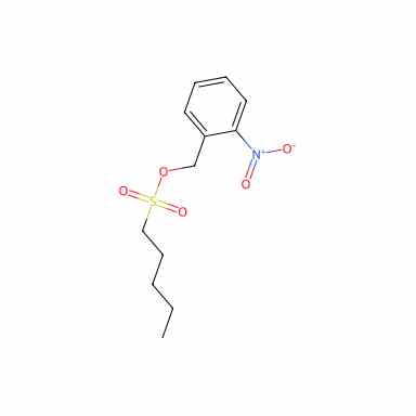 CCCCCS(=O)(=O)OCc1ccccc1[N+](=O)[O-]